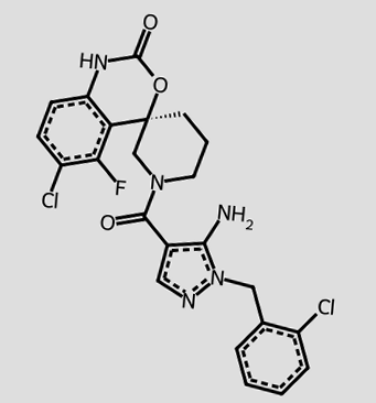 Nc1c(C(=O)N2CCC[C@@]3(C2)OC(=O)Nc2ccc(Cl)c(F)c23)cnn1Cc1ccccc1Cl